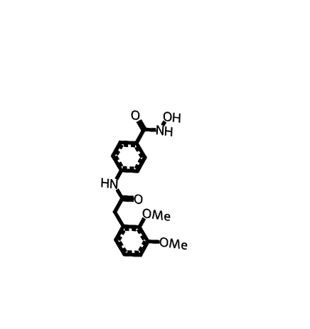 COc1cccc(CC(=O)Nc2ccc(C(=O)NO)cc2)c1OC